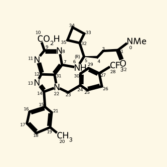 CNC(=O)CC[C@@H](Nc1nc(C(=O)O)nc2nc(-c3cccc(C)c3)n(Cc3ccc(C(F)(F)F)cc3)c12)C1CCC1